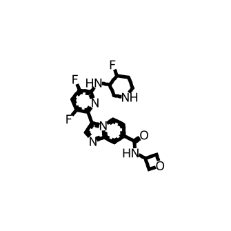 O=C(NC1COC1)c1ccn2c(-c3nc(NC4CNCCC4F)c(F)cc3F)cnc2c1